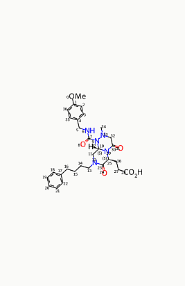 COc1ccc(CNC(=O)N2[C@H]3CN(CCCCc4ccccc4)C(=O)[C@H](CCC(=O)O)N3C(=O)CN2C)cc1